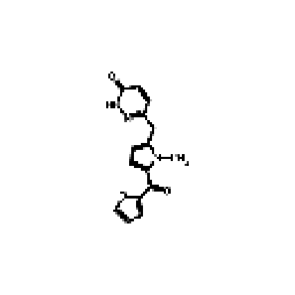 Cn1c(Cc2ccc(=O)[nH]n2)ccc1C(=O)c1ccco1